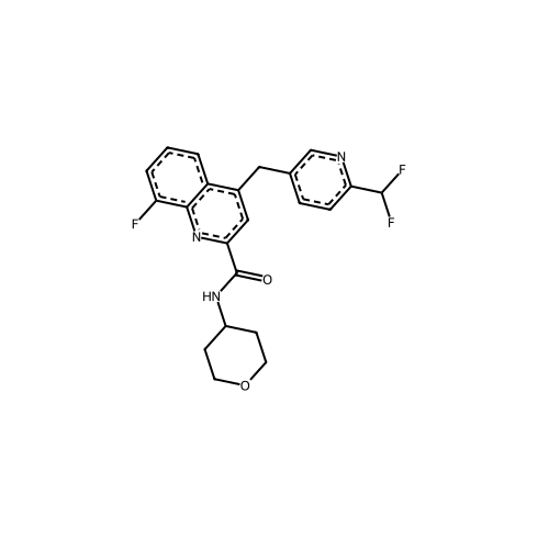 O=C(NC1CCOCC1)c1cc(Cc2ccc(C(F)F)nc2)c2cccc(F)c2n1